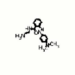 CN(C)c1ccc(/N=N/c2ccccc2C(=O)NCCN)cc1